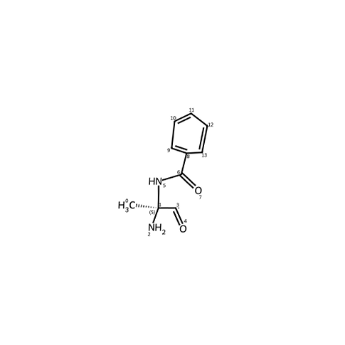 C[C@@](N)([C]=O)NC(=O)c1ccccc1